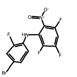 O=[N+]([O-])c1c(F)cc(F)c(F)c1Nc1ccc(Br)cc1F